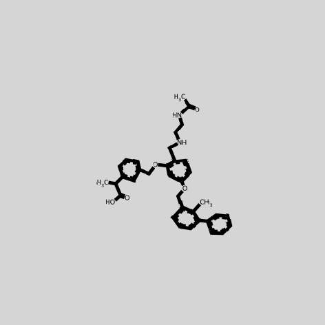 CC(=O)NCCNCc1ccc(OCc2cccc(-c3ccccc3)c2C)cc1OCc1cccc(C(C)C(=O)O)c1